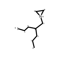 CCCC(CCI)CN1CC1